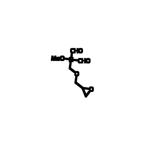 CO[Si](C=O)(C=O)COCC1CO1